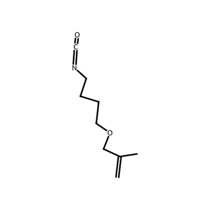 C=C(C)COCCCCN=C=O